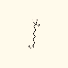 NCCCCCCC(F)(F)F